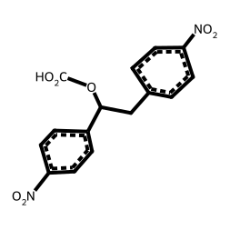 O=C(O)OC(Cc1ccc([N+](=O)[O-])cc1)c1ccc([N+](=O)[O-])cc1